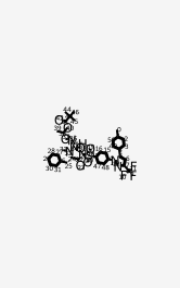 Cc1ccc(-c2cc(C(F)(F)F)nn2-c2ccc(S(=O)(=O)NC(=O)[C@H](Cc3ccccc3)N(C)/[N+]([O-])=N\OC(C)OC(=O)C(C)(C)C)cc2)cc1